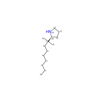 CCCCCCCC(C)(C)[C@@H]1CCCN1